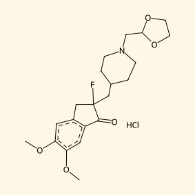 COc1cc2c(cc1OC)C(=O)C(F)(CC1CCN(CC3OCCO3)CC1)C2.Cl